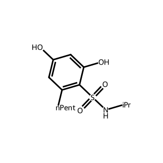 CCCCCc1cc(O)cc(O)c1S(=O)(=O)NC(C)C